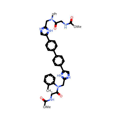 CCCN(Cc1ncc(-c2ccc(-c3ccc(-c4cnc(CN(C(=O)CNC(=O)OC)c5ccccc5C)[nH]4)cc3)cc2)[nH]1)C(=O)CNC(=O)OC